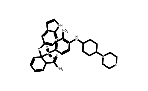 NC(=O)C1C=CC=CC1(Oc1cnc2[nH]ccc2c1)S(=O)(=O)c1ccc(NC2CCC(N3CCOCC3)CC2)c([N+](=O)[O-])c1